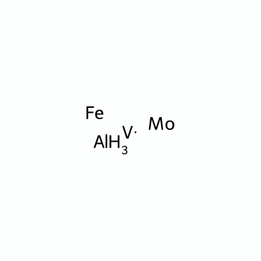 [AlH3].[Fe].[Mo].[V]